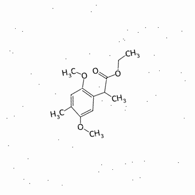 CCOC(=O)C(C)c1cc(OC)c(C)cc1OC